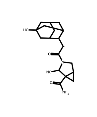 N#CC1N(C(=O)[CH]C2C3CC4CC2CC(O)(C4)C3)CC2CC21C(N)=O